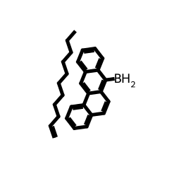 Bc1c2ccccc2cc2c1ccc1ccccc12.C=CCCCCCCCCC